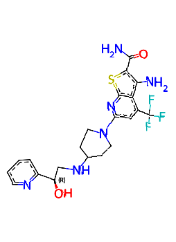 NC(=O)c1sc2nc(N3CCC(NC[C@@H](O)c4ccccn4)CC3)cc(C(F)(F)F)c2c1N